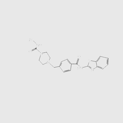 CC(C)NC(=O)N1CCN(Cc2ccc(C(=O)Nc3nc4ccccc4s3)cc2)CC1